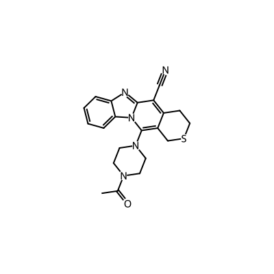 CC(=O)N1CCN(c2c3c(c(C#N)c4nc5ccccc5n24)CCSC3)CC1